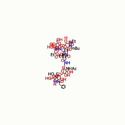 CCCCC(=O)NC1[C@H](OCCNC(=O)CCC(=O)NCCO[C@@H]2OC(CO[C@]3(C(=O)O)C[C@@H](O)[C@@H](NC(=O)Cc4ccccc4)C([C@H](O)[C@H](O)CO)O3)[C@H](O)[C@H](O)C2NC(C)=O)OC(CO[C@@H]2OC(CO)[C@@H](OP(=O)(O)O)[C@H](OC(=O)C[C@@H](CC)OC(=O)CC)C2NC(=O)C[C@@H](CC)OC(=O)CC)[C@@H](O)[C@@H]1OC(=O)CC